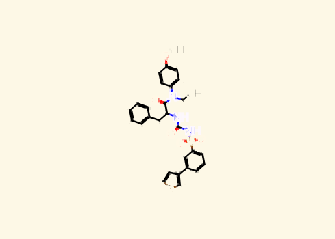 CCN(C(=O)C(Cc1ccccc1)NC(=O)NS(=O)(=O)c1cccc(-c2ccsc2)c1)c1ccc(OC)cc1